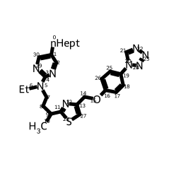 CCCCCCCc1cnc(N(CC)CCC(C)c2nc(COc3ccc(-n4cnnn4)cc3)cs2)nc1